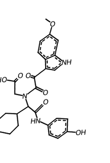 COc1ccc2c(C(=O)C(=O)N(CC(=O)O)C(C(=O)Nc3ccc(O)cc3)C3CCCCC3)c[nH]c2c1